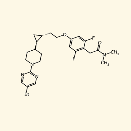 CCc1cnc(N2CCC([C@H]3C[C@@H]3CCOc3cc(F)c(CC(=O)N(C)C)c(F)c3)CC2)nc1